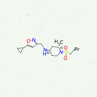 CC(C)CS(=O)(=O)N1CC[C@@H](NCc2cc(C3CC3)on2)C[C@@H]1C